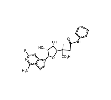 CC(CC(=O)Nc1ccccc1)(C(=O)O)[C@H]1O[C@@H](n2cnc3c(N)nc(F)nc32)[C@H](O)[C@@H]1O